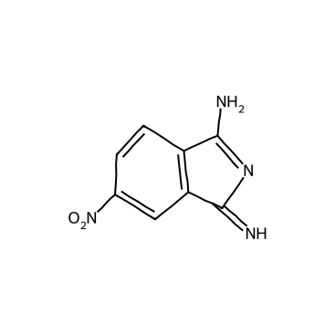 N=C1N=C(N)c2ccc([N+](=O)[O-])cc21